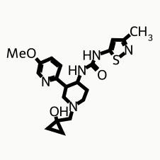 COc1ccc(C2CN(CC3(O)CC3)CCC2NC(=O)Nc2cc(C)ns2)nc1